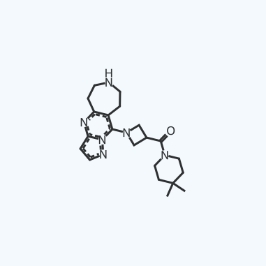 CC1(C)CCN(C(=O)C2CN(c3c4c(nc5ccnn35)CCNCC4)C2)CC1